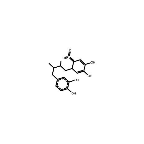 CC(Cc1ccc(O)c(O)c1)C(C)CC1C=C(O)C(O)=CC1=S(=O)=O